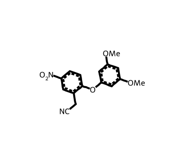 COc1cc(OC)cc(Oc2ccc([N+](=O)[O-])cc2CC#N)c1